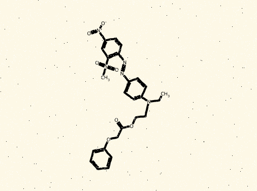 CCN(CCOC(=O)COc1ccccc1)c1ccc(N=Nc2ccc([N+](=O)[O-])cc2S(C)(=O)=O)cc1